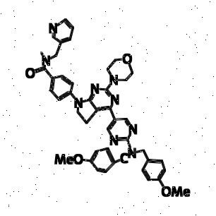 COc1ccc(CN(Cc2ccc(OC)cc2)c2ncc(-c3nc(N4CCOCC4)nc4c3CCN4c3ccc(C(=O)N(C)Cc4cccnc4)cc3)cn2)cc1